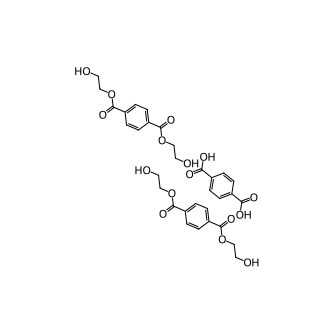 O=C(O)c1ccc(C(=O)O)cc1.O=C(OCCO)c1ccc(C(=O)OCCO)cc1.O=C(OCCO)c1ccc(C(=O)OCCO)cc1